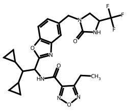 CCc1nonc1C(=O)NC(c1nc2cc(CN3CC(C(F)(F)F)NC3=O)ccc2o1)C(C1CC1)C1CC1